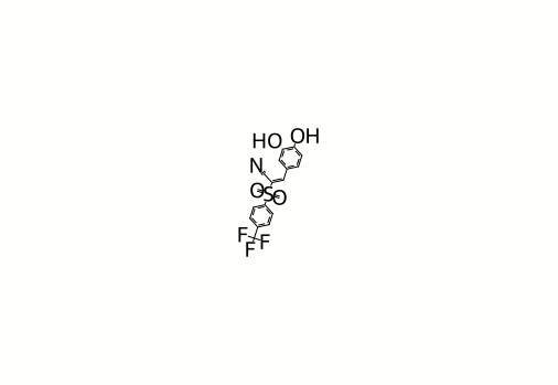 N#C/C(=C\c1ccc(O)c(O)c1)S(=O)(=O)c1ccc(C(F)(F)F)cc1